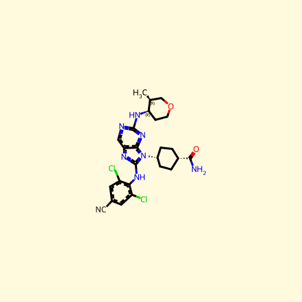 C[C@H]1COCC[C@H]1Nc1ncc2nc(Nc3c(Cl)cc(C#N)cc3Cl)n([C@H]3CC[C@@H](C(N)=O)CC3)c2n1